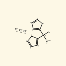 C[C]([Zr+3])(C1=CC=CC1)C1=CC=CC1.[Cl-].[Cl-].[Cl-]